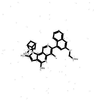 COCOc1cc(-c2ncc3c(nc(SC)c4cc(C)n(C5C6CC5N(C(=O)O)C6)c43)c2F)c2ccccc2c1